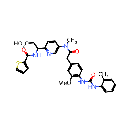 COc1cc(CC(=O)N(C)c2ccc(C(CC(=O)O)NC(=O)c3cccs3)nc2)ccc1NC(=O)Nc1ccccc1C